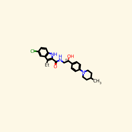 CCc1c(C(=O)NC[C@@H](O)c2ccc(N3CCC(C)CC3)cc2)[nH]c2ccc(Cl)cc12